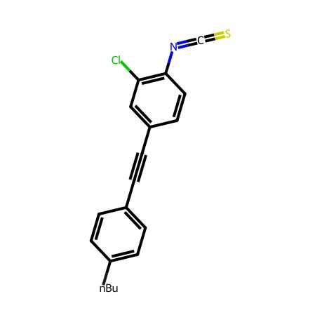 CCCCc1ccc(C#Cc2ccc(N=C=S)c(Cl)c2)cc1